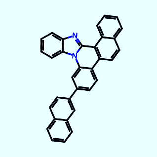 c1ccc2cc(-c3ccc4c5ccc6ccccc6c5c5nc6ccccc6n5c4c3)ccc2c1